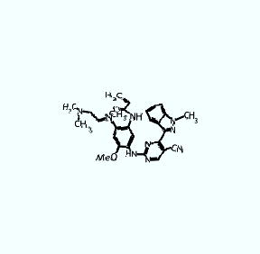 C=CC(=O)Nc1cc(Nc2ncc(C#N)c(-c3nn(C)c4ccccc34)n2)c(OC)cc1N(C)CCN(C)C